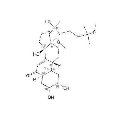 COC(CCC(C)(C)OC)[C@](C)(O)[C@H]1CC[C@@]2(O)C3=CC(=O)[C@@H]4C[C@@H](O)[C@@H](O)C[C@]4(C)[C@H]3CC[C@]12C